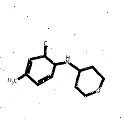 CC1=CC(F)C(NC2CCOCC2)C=C1